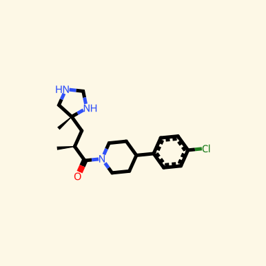 C[C@@H](C[C@]1(C)CNCN1)C(=O)N1CCC(c2ccc(Cl)cc2)CC1